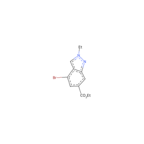 CCOC(=O)c1cc(Br)c2cn(CC)nc2c1